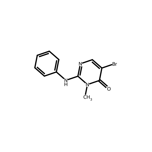 Cn1c(Nc2ccccc2)ncc(Br)c1=O